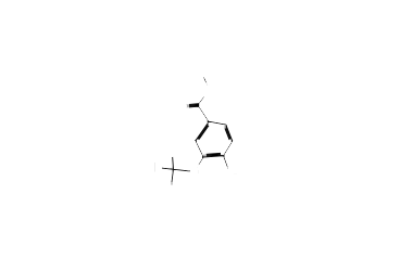 COC(=O)c1ccc(O)c(OC(F)(F)F)c1